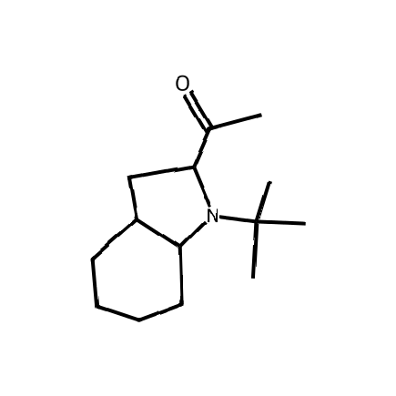 CC(=O)C1CC2CCCCC2N1C(C)(C)C